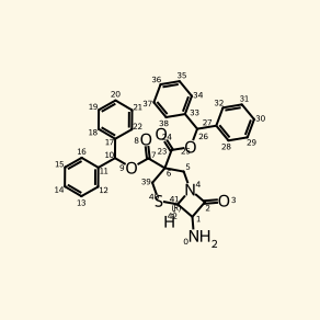 NC1C(=O)N2CC(C(=O)OC(c3ccccc3)c3ccccc3)(C(=O)OC(c3ccccc3)c3ccccc3)CS[C@H]12